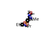 CCc1ccc(N(CC(C)C)S(=O)(=O)c2ccc(/C(CN3C[C@@H](C)O[C@@H](C)C3)=N\NC)cc2)cc1